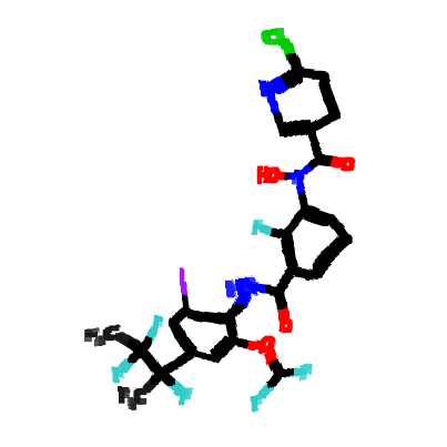 O=C(Nc1c(I)cc(C(F)(C(F)(F)F)C(F)(F)C(F)(F)F)cc1OC(F)F)c1cccc(N(O)C(=O)c2ccc(Cl)nc2)c1F